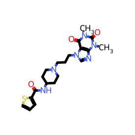 Cn1c(=O)c2c(ncn2CCCN2CCC(NC(=O)c3cccs3)CC2)n(C)c1=O